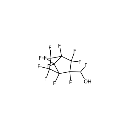 OC(F)C1(F)C(F)(F)C2(F)C(F)(F)C(F)(F)C1(F)C2(F)F